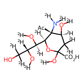 [2H]OC1(C(=O)O)O[C@@]([2H])([C@]([2H])(O[2H])[C@]([2H])(O[2H])C([2H])([2H])O)[C@](C(C)=O)(N([2H])[2H])[C@@]([2H])(O[2H])C1([2H])[2H]